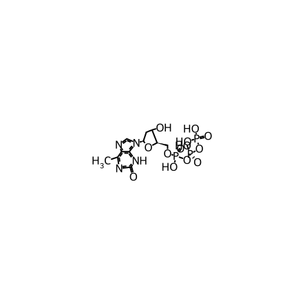 Cc1nc(=O)[nH]c2c1ncn2[C@H]1CC(O)[C@@H](COP(=O)(O)OP(=O)(O)OP(=O)(O)O)O1